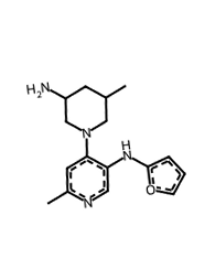 Cc1cc(N2CC(C)CC(N)C2)c(Nc2ccco2)cn1